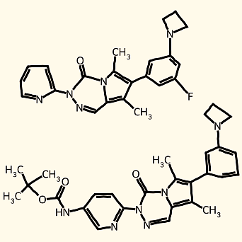 Cc1c(-c2cc(F)cc(N3CCC3)c2)c(C)n2c(=O)n(-c3ccccn3)ncc12.Cc1c(-c2cccc(N3CCC3)c2)c(C)n2c(=O)n(-c3ccc(NC(=O)OC(C)(C)C)cn3)ncc12